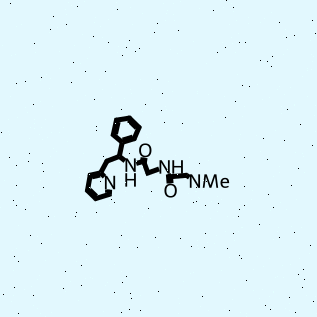 CNCC(=O)NCC(=O)NC(Cc1ccccn1)c1ccccc1